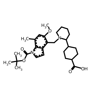 COc1cc(C)c2c(ccn2C(=O)OC(C)(C)C)c1CN1CCCCC1C1CCC(C(=O)O)CC1